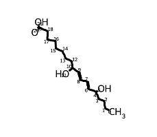 CCCCC(O)C=CC=CC(O)CCCCCCCC(=O)O